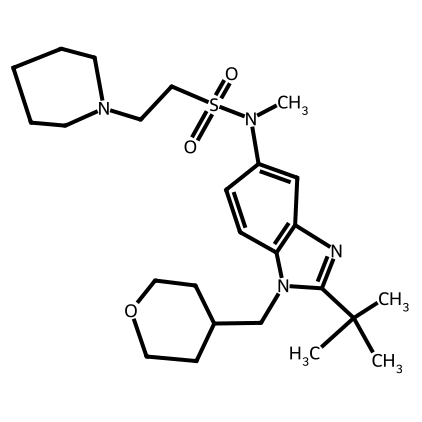 CN(c1ccc2c(c1)nc(C(C)(C)C)n2CC1CCOCC1)S(=O)(=O)CCN1CCCCC1